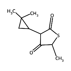 CC1SC(=O)C(C2CC2(C)C)C1=O